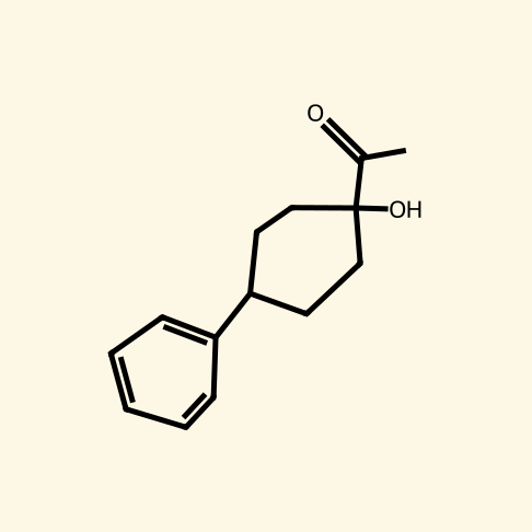 CC(=O)C1(O)CCC(c2ccccc2)CC1